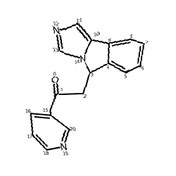 O=C(CC1c2ccccc2-c2cncn21)c1cccnc1